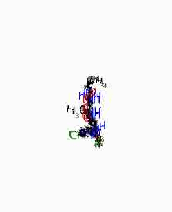 CCC1(CC)CC1CNC(=O)C(=O)NCC[C@H](NC(=O)c1ccc(Nc2nc(NC3(c4ccc(Cl)cc4)CC3)nc(OCC(F)(F)F)n2)cc1)C(=O)OC